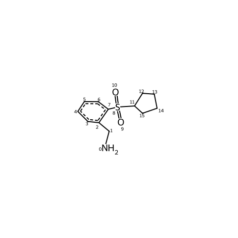 NCc1ccccc1S(=O)(=O)C1CCCC1